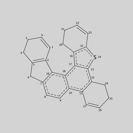 C1=CC2=C(CC1)Cc1ccc3c4c(c5sc6c(c5c3c12)CCC=C6)CCC=C4